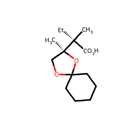 CC[C@](C)(C(=O)O)[C@]1(C)COC2(CCCCC2)O1